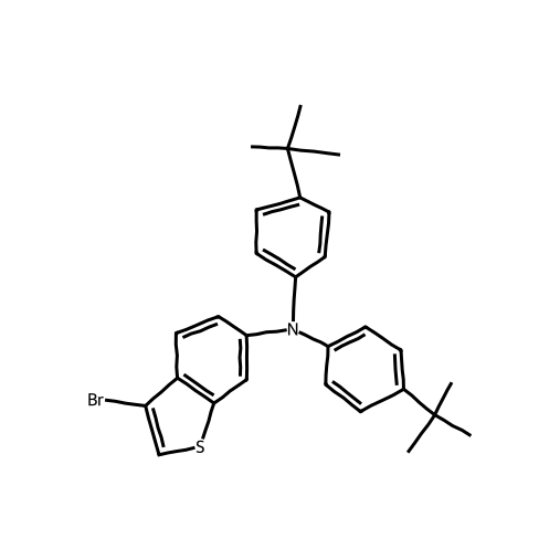 CC(C)(C)c1ccc(N(c2ccc(C(C)(C)C)cc2)c2ccc3c(Br)csc3c2)cc1